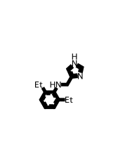 CCc1cccc(CC)c1NCc1c[nH]cn1